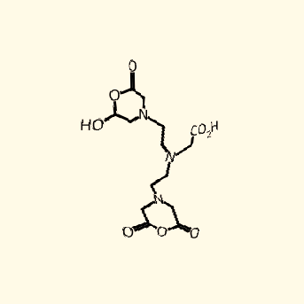 O=C(O)CN(CCN1CC(=O)OC(=O)C1)CCN1CC(=O)OC(O)C1